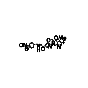 COCc1cc(F)cnc1CN1CCOc2cc(C(=O)CNCc3ccc([S+]([O-])N=O)cc3)cnc21